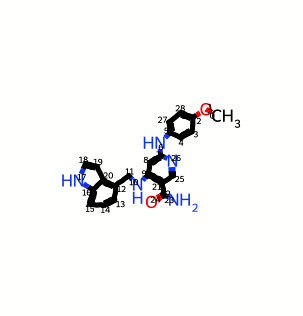 COc1ccc(Nc2cc(NCc3cccc4[nH]ccc34)c(C(N)=O)cn2)cc1